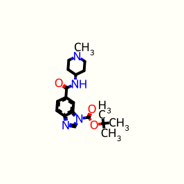 CN1CCC(NC(=O)c2ccc3ncn(C(=O)OC(C)(C)C)c3c2)CC1